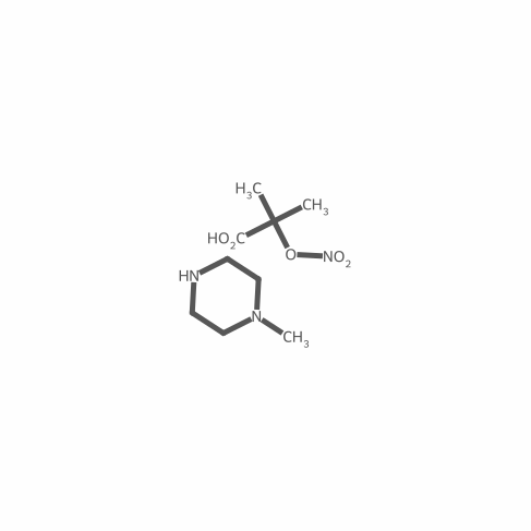 CC(C)(O[N+](=O)[O-])C(=O)O.CN1CCNCC1